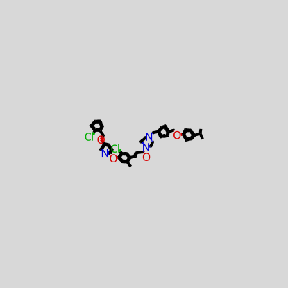 Cc1cc(Oc2ccc(OCc3ccccc3Cl)cn2)c(Cl)cc1/C=C/C(=O)N1CCN(Cc2ccc(COc3ccc(C(C)C)cc3)cc2)CC1